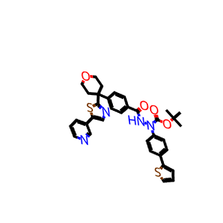 CC(C)(C)OC(=O)N(NC(=O)c1ccc(C2(c3ncc(-c4cccnc4)s3)CCOCC2)cc1)c1ccc(-c2cccs2)cc1